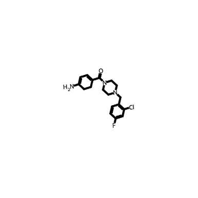 NC1=CC=C(C(=O)N2CCN(Cc3ccc(F)cc3Cl)CC2)CC1